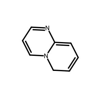 C1=CCN2C=CC=NC2=C1